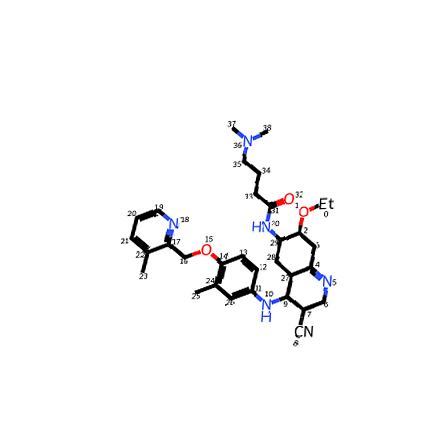 CCOC1CC2=NCC(C#N)C(Nc3ccc(OCc4ncccc4C)c(C)c3)C2CC1NC(=O)CCCN(C)C